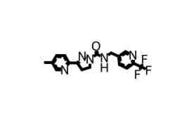 Cc1ccc(C2=NN(C(=O)NCc3ccc(C(F)(F)F)nc3)CC2)nc1